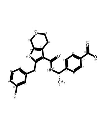 C[C@H](NC(=O)c1c(Cc2cccc(F)c2)sc2c1CCOC2)c1ccc(C(=O)O)cc1